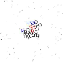 CC(C)(C)[Si](C)(C)OC(C(=O)OC(c1c[nH]cn1)C(c1ccccc1)(c1ccccc1)c1ccccc1)c1ccc(C#N)cc1